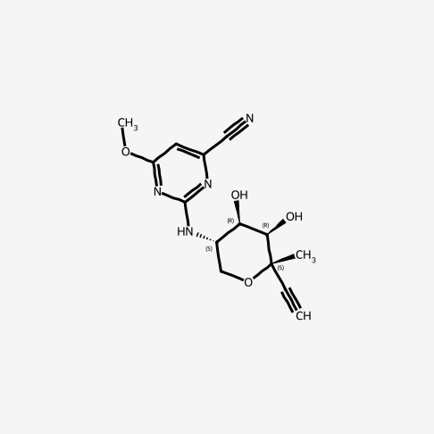 C#C[C@]1(C)OC[C@H](Nc2nc(C#N)cc(OC)n2)[C@@H](O)[C@H]1O